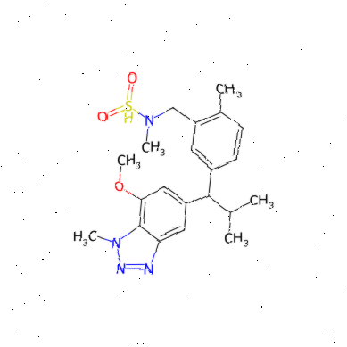 COc1cc(C(c2ccc(C)c(CN(C)[SH](=O)=O)c2)C(C)C)cc2nnn(C)c12